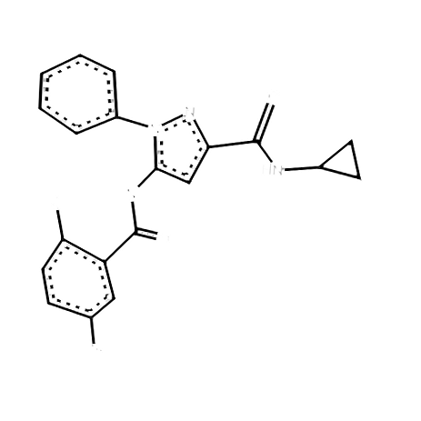 O=C(NC1CC1)c1cc(NC(=O)c2cc(Br)ccc2Cl)n(-c2ccccc2)n1